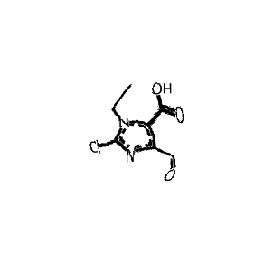 CCn1c(Cl)nc(C=O)c1C(=O)O